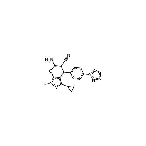 Cn1nc(C2CC2)c2c1OC(N)=C(C#N)C2c1ccc(-n2ccnn2)cc1